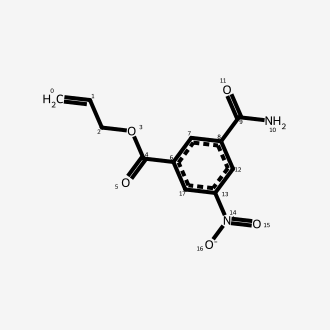 C=CCOC(=O)c1cc(C(N)=O)cc([N+](=O)[O-])c1